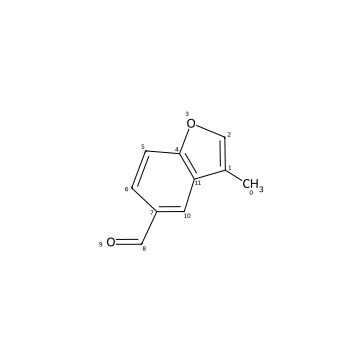 Cc1coc2ccc(C=O)cc12